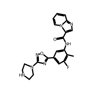 Cc1c(F)cc(-c2nc(N3CCNCC3)no2)cc1NC(=O)c1cnc2ccccn12